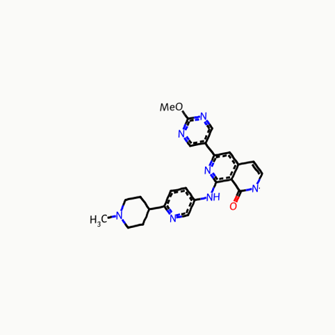 COc1ncc(-c2cc3c(c(Nc4ccc(C5CCN(C)CC5)nc4)n2)C(=O)[N]C=C3)cn1